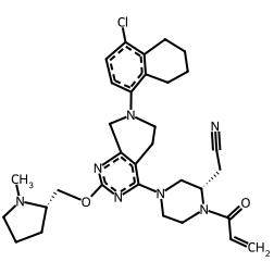 C=CC(=O)N1CCN(c2nc(OC[C@@H]3CCCN3C)nc3c2CCN(c2ccc(Cl)c4c2CCCC4)C3)C[C@@H]1CC#N